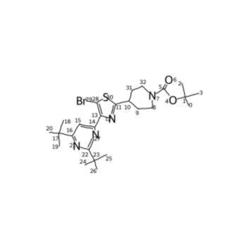 CC(C)(C)OC(=O)N1CCC(c2nc(-c3cc(C(C)(C)C)nc(C(C)(C)C)n3)c(Br)s2)CC1